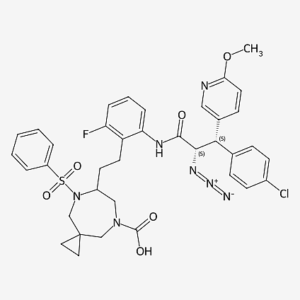 COc1ccc([C@H](c2ccc(Cl)cc2)[C@H](N=[N+]=[N-])C(=O)Nc2cccc(F)c2CCC2CN(C(=O)O)CC3(CC3)CN2S(=O)(=O)c2ccccc2)cn1